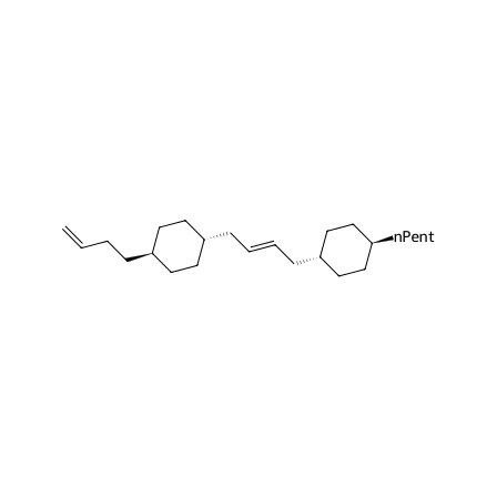 C=CCC[C@H]1CC[C@H](CC=CC[C@H]2CC[C@H](CCCCC)CC2)CC1